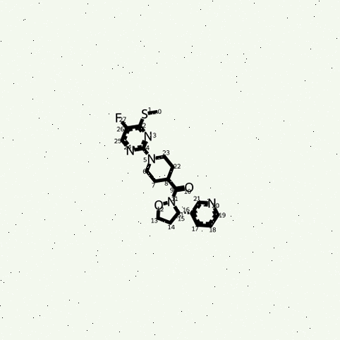 CSc1nc(N2CCC(C(=O)N3OCC[C@H]3c3cccnc3)CC2)ncc1F